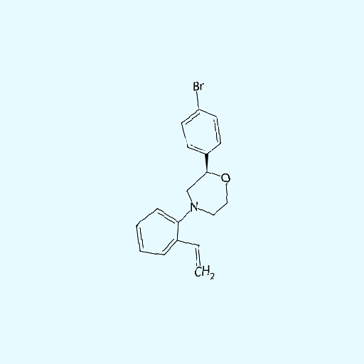 C=Cc1ccccc1N1CCO[C@H](c2ccc(Br)cc2)C1